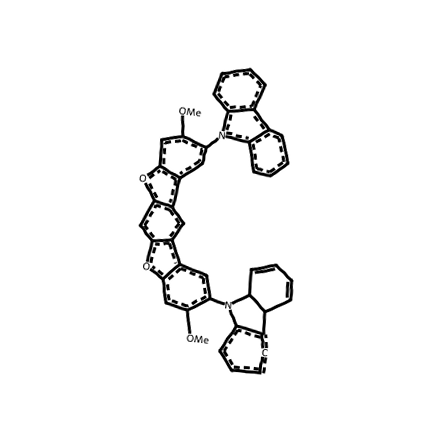 COc1cc2oc3cc4oc5cc(OC)c(-n6c7ccccc7c7ccccc76)cc5c4cc3c2cc1N1c2ccccc2C2C=CC=CC21